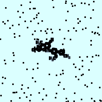 COc1cc(Nc2cc(C#N)cn([C@@H](C)c3ccc(Cl)s3)c2=O)ccc1-n1cnc(C)c1